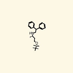 C[C@H](CCO[Si](C)(C)C(C)(C)C)NCC(c1ccccc1)c1ccccc1